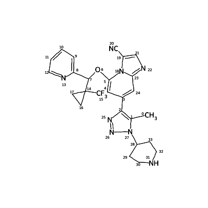 Cc1c(-c2cc(OC(c3ccccn3)C3(C(F)(F)F)CC3)n3c(C#N)cnc3c2)nnn1C1CCNCC1